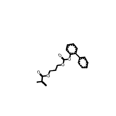 C=C(C)C(=O)OCCCOC(=O)Oc1ccccc1-c1ccccc1